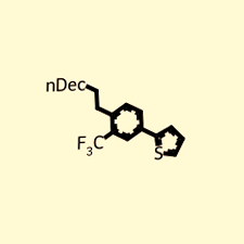 CCCCCCCCCCCCc1ccc(-c2cccs2)cc1C(F)(F)F